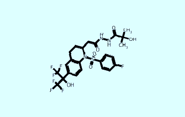 CC(C)(O)C(=O)NNC(=O)CC1CCc2cc(C(O)(C(F)(F)F)C(F)(F)F)ccc2N1S(=O)(=O)c1ccc(F)cc1